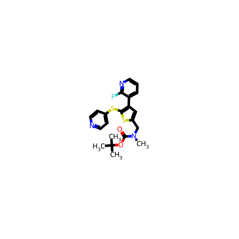 CN(Cc1cc(-c2cccnc2F)c(Sc2ccncc2)s1)C(=O)OC(C)(C)C